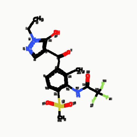 CCn1ncc(C(=O)c2ccc(S(C)(=O)=O)c(NC(=O)C(F)(F)F)c2C)c1O